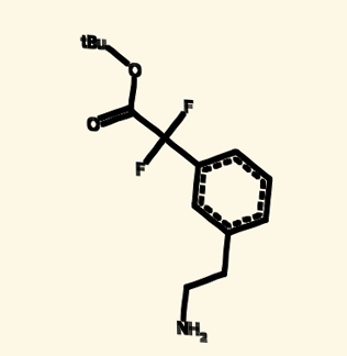 CC(C)(C)OC(=O)C(F)(F)c1cccc(CCN)c1